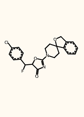 O=C1N=C(N2CCC3(CC2)OCc2ccccc23)OC1C(F)c1ccc(Cl)cc1